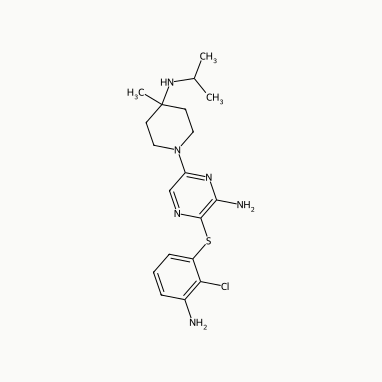 CC(C)NC1(C)CCN(c2cnc(Sc3cccc(N)c3Cl)c(N)n2)CC1